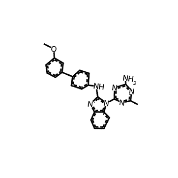 COc1cccc(-c2ccc(Nc3nc4ccccc4n3-c3nc(C)nc(N)n3)cc2)c1